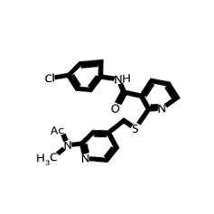 CC(=O)N(C)c1cc(CSc2ncccc2C(=O)Nc2ccc(Cl)cc2)ccn1